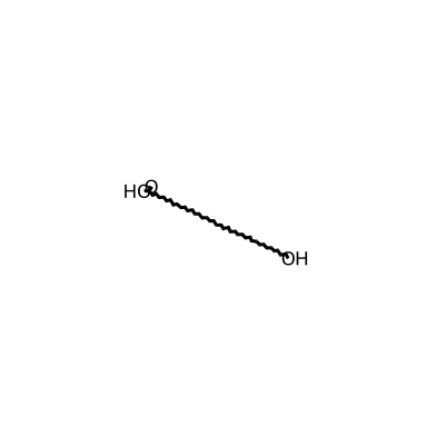 O=C(O)CCCCCCCCCCCCCCCCCCCCCCCCCCCCCCCCCCCCCCO